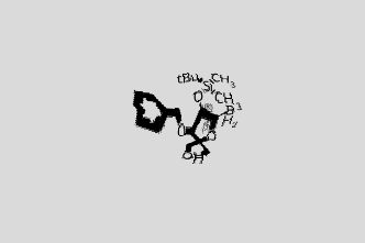 [2H]C[C@]1(CO)O[C@@H](B)[C@@H](O[Si](C)(C)C(C)(C)C)C1OCc1ccccc1